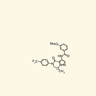 COc1cccc(C(=O)Nc2cnn3c2C(=O)N(c2ccc(C(F)(F)F)cc2)C[C@@H]3C)c1